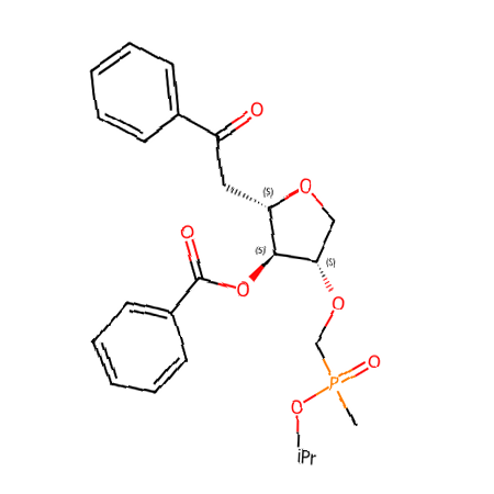 CC(C)OP(C)(=O)CO[C@H]1CO[C@@H](CC(=O)c2ccccc2)[C@@H]1OC(=O)c1ccccc1